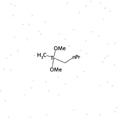 CCC[CH2][Ti]([CH3])([O]C)[O]C